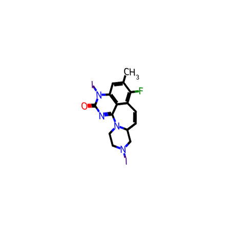 Cc1cc2c3c(nc(=O)n2I)N2CCN(I)CC2C=Cc3c1F